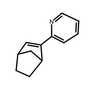 C1=C(c2ccccn2)C2CCC1C2